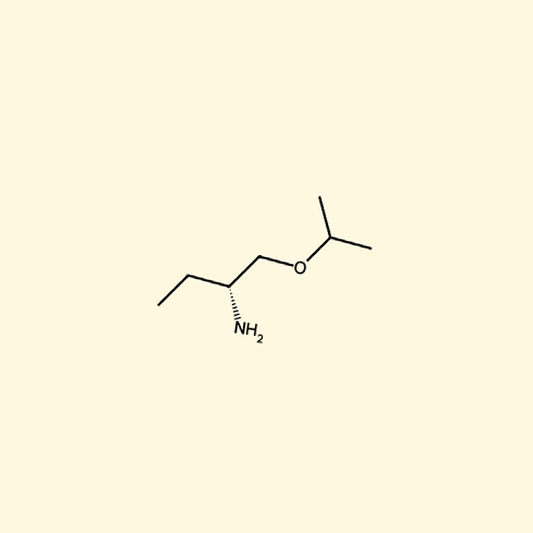 CC[C@@H](N)COC(C)C